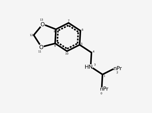 CCCC(CCC)NCc1ccc2c(c1)OCO2